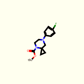 CC(C)(C)OC(=O)N1CCN(c2ccc(F)cc2)CC12CC2